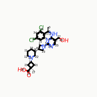 C[C@@H](Nc1nc(N2CC([C@H]3CCCN([C@H]4C[C@](C)(C(=O)O)C4)C3)C2)ncc1CO)c1ccc(Cl)cc1Cl